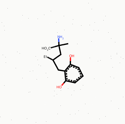 CCC(Cc1c(O)cccc1O)CC(C)(N)C(=O)O